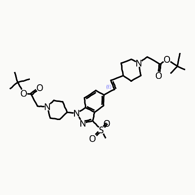 CC(C)(C)OC(=O)CN1CCC(/C=C/c2ccc3c(c2)c(S(C)(=O)=O)nn3C2CCN(CC(=O)OC(C)(C)C)CC2)CC1